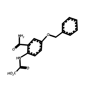 NC(=O)c1cc(OCc2ccccc2)ccc1NC(=O)C(=O)O